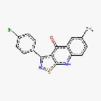 Cc1ccc2[nH]c3snc(-c4ccc(Br)cc4)c3c(=O)c2c1